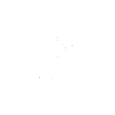 CO[Si](CCCN(c1ccccc1)C(C)(C)C)(OC)OC[SiH](C)C